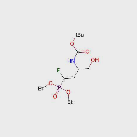 CCOP(=O)(OCC)/C(F)=C/C(CO)NC(=O)OC(C)(C)C